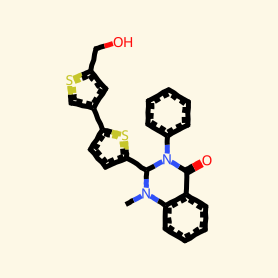 CN1c2ccccc2C(=O)N(c2ccccc2)C1c1ccc(-c2csc(CO)c2)s1